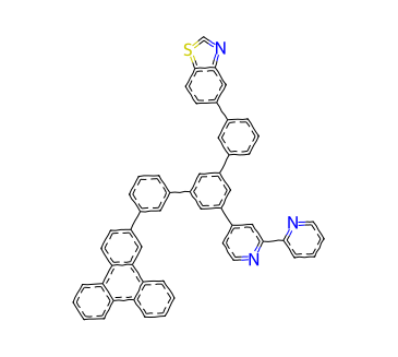 c1ccc(-c2cc(-c3cc(-c4cccc(-c5ccc6scnc6c5)c4)cc(-c4cccc(-c5ccc6c7ccccc7c7ccccc7c6c5)c4)c3)ccn2)nc1